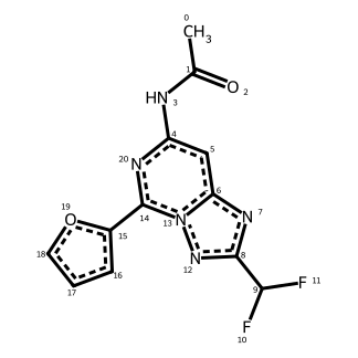 CC(=O)Nc1cc2nc(C(F)F)nn2c(-c2ccco2)n1